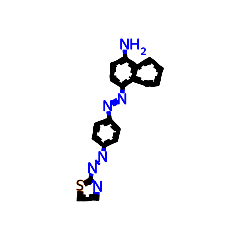 Nc1ccc(/N=N/c2ccc(/N=N/c3nccs3)cc2)c2ccccc12